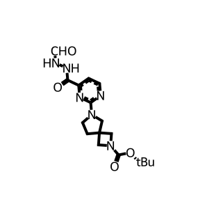 CC(C)(C)OC(=O)N1CC2(CCN(c3nccc(C(=O)NNC=O)n3)C2)C1